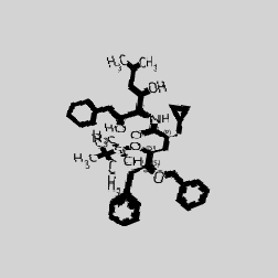 CC(C)CC(O)C(NC(=O)[C@H](CC1CC1)C[C@H](O[Si](C)(C)C(C)(C)C)[C@H](Cc1ccccc1)OCc1ccccc1)C(O)CC1CCCCC1